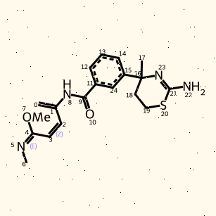 C=C(/C=C\C(=N/C)OC)NC(=O)c1cccc(C2(C)CCSC(N)=N2)c1